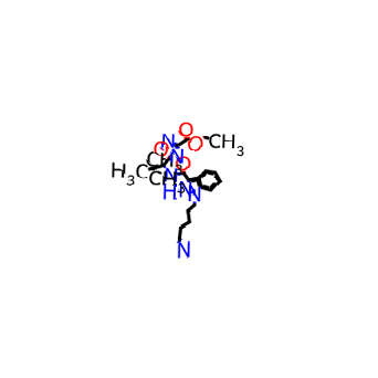 CCOC(=O)c1noc([C@@H](NC(=O)c2nn(CCCCC#N)c3ccccc23)C(C)(C)C)n1